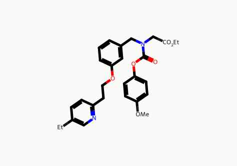 CCOC(=O)CN(Cc1cccc(OCCc2ccc(CC)cn2)c1)C(=O)Oc1ccc(OC)cc1